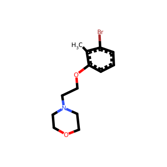 Cc1c(Br)cccc1OCCN1CCOCC1